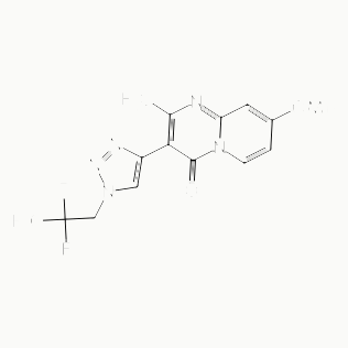 COc1ccn2c(=O)c(-c3cn(CC(F)(F)C(F)(F)F)nn3)c(C(F)(F)F)nc2c1